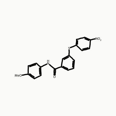 COc1ccc(NC(=O)c2cccc(Sc3ccc([N+](=O)[O-])cc3)c2)cc1